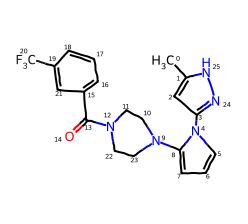 Cc1cc(-n2cccc2N2CCN(C(=O)c3cccc(C(F)(F)F)c3)CC2)n[nH]1